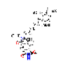 CCCCCCCCC1C(CCCCCC)CCC(CCCC)C1CCCCCCCCN(C=O)C(=O)C1CC2C(=O)NC(=O)C2CC1C